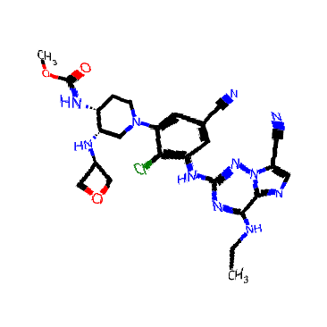 CCNc1nc(Nc2cc(C#N)cc(N3CC[C@@H](NC(=O)OC)[C@@H](NC4COC4)C3)c2Cl)nn2c(C#N)cnc12